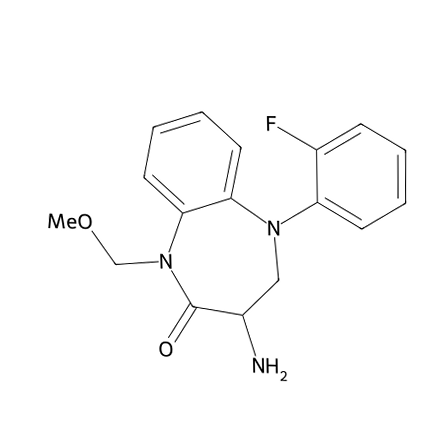 COCN1C(=O)C(N)CN(c2ccccc2F)c2ccccc21